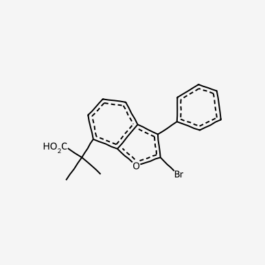 CC(C)(C(=O)O)c1cccc2c(-c3ccccc3)c(Br)oc12